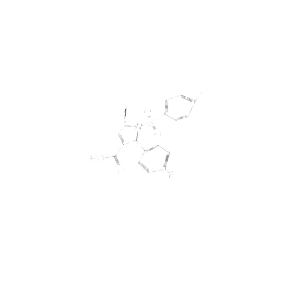 CC[C@@H]1C=C(C(=O)O)C(c2ccc(F)cc2)N1S(=O)(=O)c1ccc(C)cc1